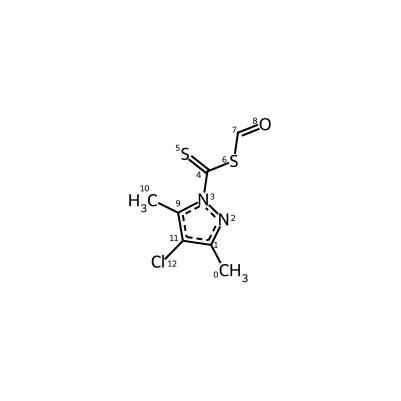 Cc1nn(C(=S)SC=O)c(C)c1Cl